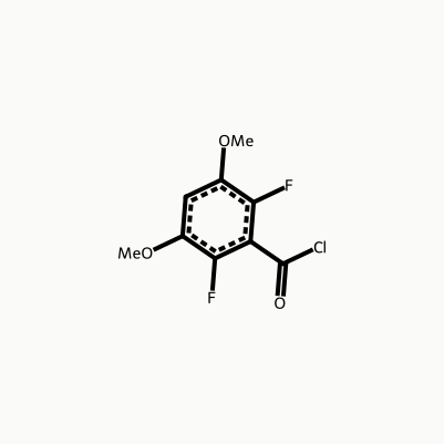 COc1cc(OC)c(F)c(C(=O)Cl)c1F